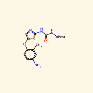 CCCCCNC(=O)Nc1ncc(Oc2ccc(N)cc2C)s1